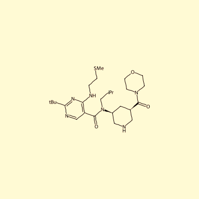 CSCCNc1nc(C(C)(C)C)ncc1C(=O)N(CC(C)C)[C@@H]1CNC[C@H](C(=O)N2CCOCC2)C1